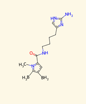 Bc1cc(C(=O)NCCCCc2c[nH]c(N)n2)n(C)c1B